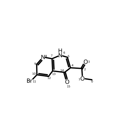 COC(=O)c1c[nH]c2ncc(Br)cc2c1=O